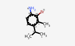 Cc1c(C(C)C)ccc(N)c1Br